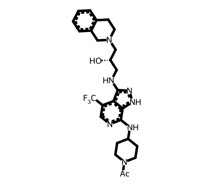 CC(=O)N1CCC(Nc2ncc(C(F)(F)F)c3c(NC[C@H](O)CN4CCc5ccccc5C4)n[nH]c23)CC1